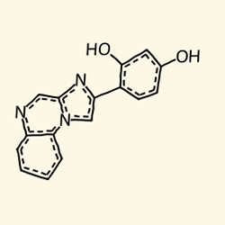 Oc1ccc(-c2cn3c(cnc4ccccc43)n2)c(O)c1